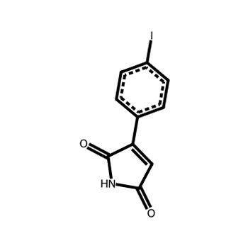 O=C1C=C(c2ccc(I)cc2)C(=O)N1